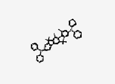 Cc1cc(N(C2=CCCC=C2)c2ccccc2)cc2c1-c1c(cc3c(c1C)C(C)(C)c1cc(N(c4ccccc4)c4ccccc4)ccc1-3)C2(C)C